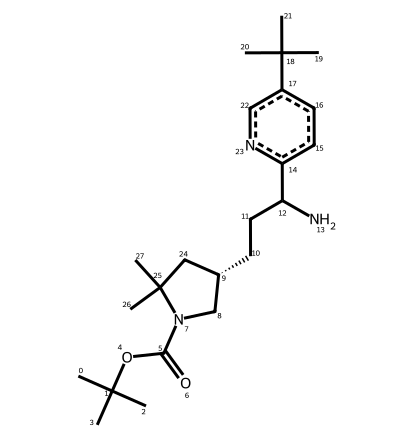 CC(C)(C)OC(=O)N1C[C@@H](CCC(N)c2ccc(C(C)(C)C)cn2)CC1(C)C